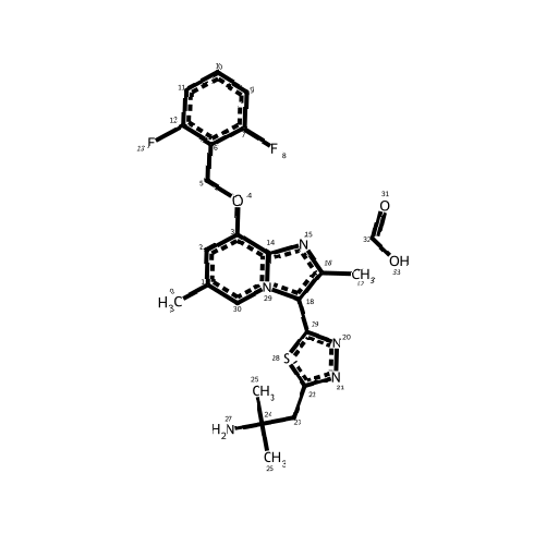 Cc1cc(OCc2c(F)cccc2F)c2nc(C)c(-c3nnc(CC(C)(C)N)s3)n2c1.O=CO